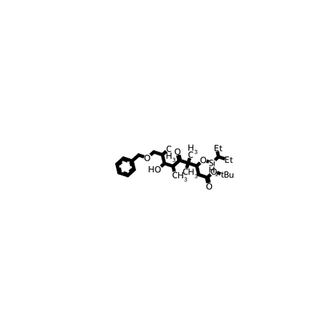 CCC(CC)[SiH2]OC(CC(=O)OC(C)(C)C)C(C)(C)C(=O)C(C)C(O)C(C)COCc1ccccc1